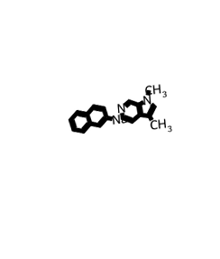 Cc1cn(C)c2cnccc12.[Na][c]1ccc2ccccc2c1